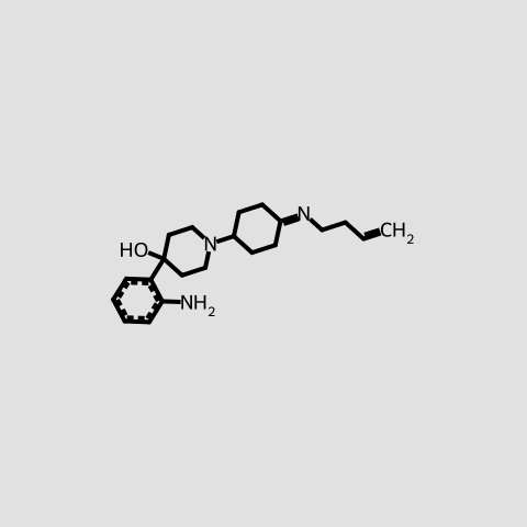 C=CCCN=C1CCC(N2CCC(O)(c3ccccc3N)CC2)CC1